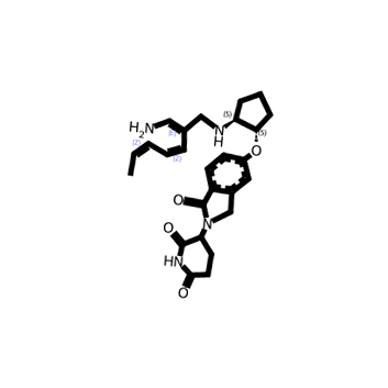 C\C=C/C=C\C(=C/N)CN[C@H]1CCC[C@@H]1Oc1ccc2c(c1)CN(C1CCC(=O)NC1=O)C2=O